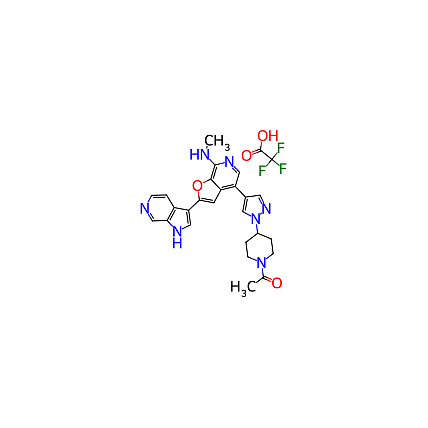 CNc1ncc(-c2cnn(C3CCN(C(C)=O)CC3)c2)c2cc(-c3c[nH]c4cnccc34)oc12.O=C(O)C(F)(F)F